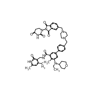 CCN(c1cc(-c2ccc(CN3CCN(Cc4ccc5c(c4)C(=O)N(N4CCC(=O)NC4=O)C5=O)CC3)cc2)cc(C(=O)NCc2c(C)cc(C)[nH]c2=O)c1C)C1CCOCC1